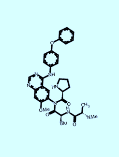 CN[C@@H](C)C(=O)N[C@H](C(=O)N(C(=O)[C@@H]1CCCN1)c1cc2c(Nc3ccc(Oc4ccccc4)cc3)ncnc2cc1OC)C(C)(C)C